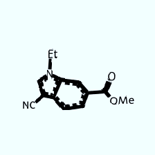 CCn1cc(C#N)c2ccc(C(=O)OC)cc21